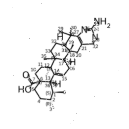 C[C@H]1[C@H](C)CC[C@]2(C(=O)O)CC[C@]3(C)C(=CC[C@@H]4[C@@]5(C)Cc6cnc(N)nc6C(C)(C)[C@@H]5CC[C@]43C)[C@H]12